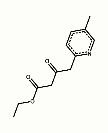 CCOC(=O)CC(=O)Cc1ccc(C)cn1